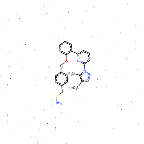 CCOC(=O)c1cnn(-c2cccc(-c3ccccc3OCc3ccc(CSN)cc3)n2)c1C(F)(F)F